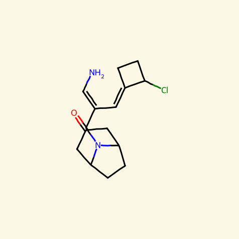 N/C=C(\C=C1/CCC1Cl)CN1C2CCC1CC(=O)C2